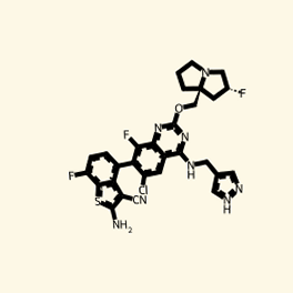 N#Cc1c(N)sc2c(F)ccc(-c3c(Cl)cc4c(NCc5cn[nH]c5)nc(OC[C@@]56CCCN5C[C@H](F)C6)nc4c3F)c12